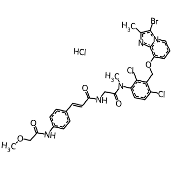 COCC(=O)Nc1ccc(C=CC(=O)NCC(=O)N(C)c2ccc(Cl)c(COc3cccn4c(Br)c(C)nc34)c2Cl)cc1.Cl